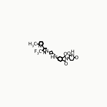 Cc1cccc(-c2cn([C@H]3C[C@H](CNc4ccc5c(c4)C(=O)N(C4CCC(=O)NC4=O)C5=O)C3)nc2C(F)(F)F)n1